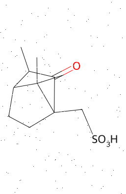 CC1C(=O)C2(CS(=O)(=O)O)CCC1C2(C)C